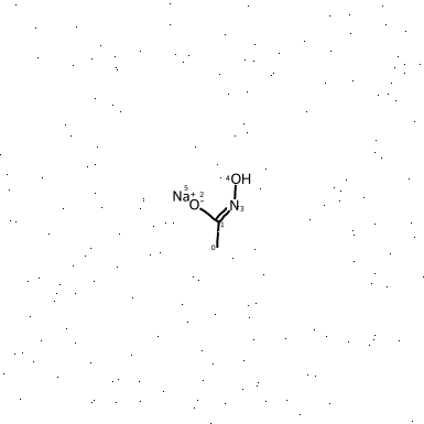 CC([O-])=NO.[Na+]